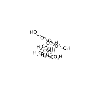 C=C(C)C(=O)O.C=C(C)C(=O)O.C=CC(=O)O.OCCOCCOCCOCCO